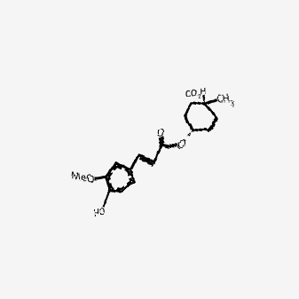 COc1cc(C=CC(=O)O[C@H]2CC[C@](C)(C(=O)O)CC2)ccc1O